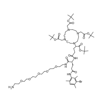 Cc1cc(C)c(NC(=O)CC[C@H](NC(=O)CCC(C(=O)OC(C)(C)C)N2CCN(CC(=O)OC(C)(C)C)CCN(CC(=O)OC(C)(C)C)CCN(CC(=O)OC(C)(C)C)CC2)C(=O)NCCOCCOCCOCCOCCOCCN)c(C)c1Br